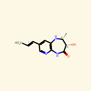 C[C@H]1Nc2cc(/C=C/C(=O)O)cnc2NC(=O)[C@H]1O